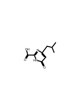 CC(C)Cc1cc(=O)[nH]c(C(=O)O)n1